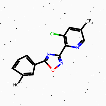 N#Cc1cccc(-c2nc(-c3ncc(C(F)(F)F)cc3Cl)no2)c1